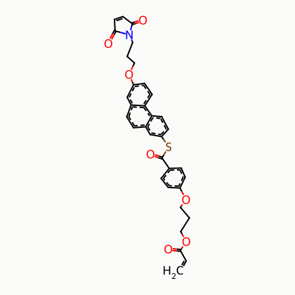 C=CC(=O)OCCCOc1ccc(C(=O)Sc2ccc3c(ccc4cc(OCCCN5C(=O)C=CC5=O)ccc43)c2)cc1